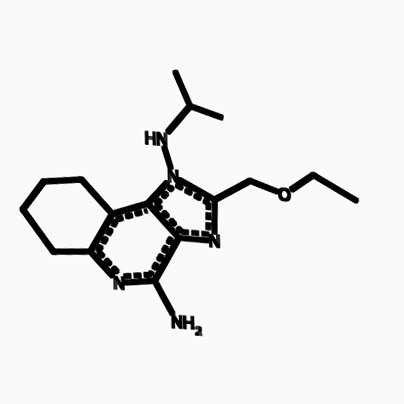 CCOCc1nc2c(N)nc3c(c2n1NC(C)C)CCCC3